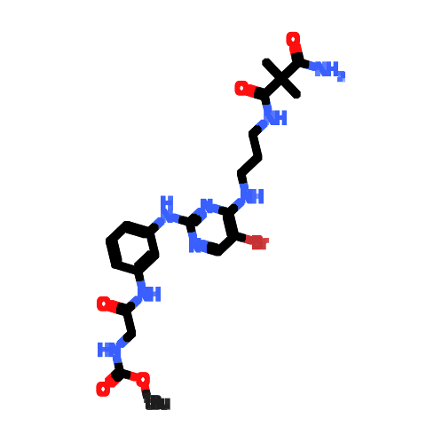 CC(C)(C)OC(=O)NCC(=O)Nc1cccc(Nc2ncc(Br)c(NCCCNC(=O)C(C)(C)C(N)=O)n2)c1